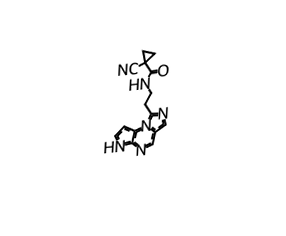 N#CC1(C(=O)NCCc2ncc3cnc4[nH]ccc4n23)CC1